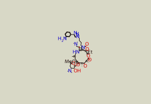 CC[C@H]1OC(=O)[C@H](C)C(=O)[C@H](C)[C@@H](O[C@@H]2O[C@H](C)CC(N(C)C)C2O)[C@](C)(OC)C[C@@H](C)CN[C@H](CCN(C)C)[C@H]2N(CCCCn3cc(-c4cccc(N)c4)nn3)C(=O)O[C@]12C